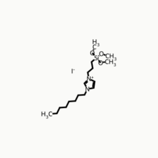 CCCCCCCCn1cc[n+](CCC[Si](OC)(OC)OC)c1.[I-]